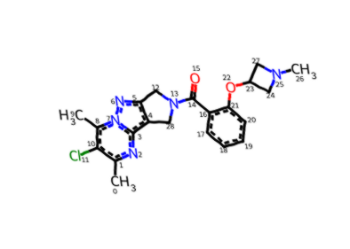 Cc1nc2c3c(nn2c(C)c1Cl)CN(C(=O)c1ccccc1OC1CN(C)C1)C3